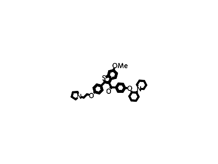 COc1ccc2c(C(=O)c3ccc(OC4CCCCC4N4CCCCC4)cc3)c(-c3ccc(OCCN4CCCC4)cc3)sc2c1